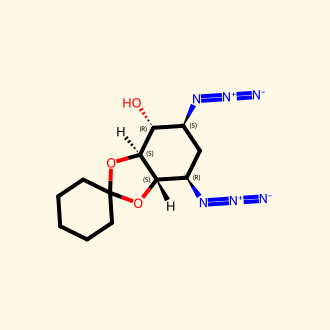 [N-]=[N+]=N[C@H]1C[C@@H](N=[N+]=[N-])[C@@H]2OC3(CCCCC3)O[C@H]2[C@@H]1O